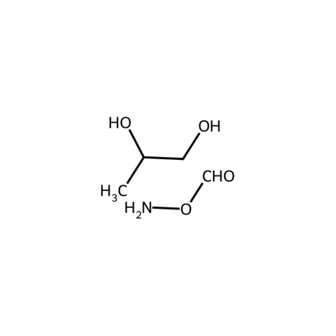 CC(O)CO.NOC=O